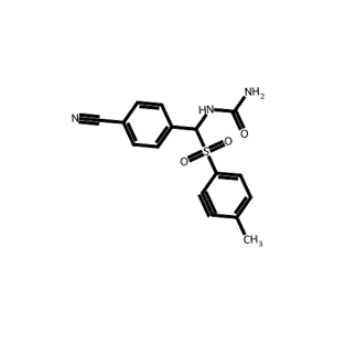 Cc1c#cc(S(=O)(=O)C(NC(N)=O)c2ccc(C#N)cc2)cc1